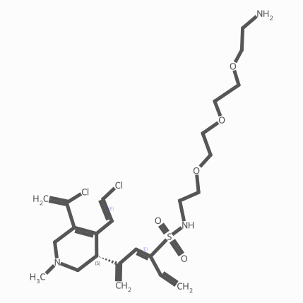 C=C/C(=C\C(=C)[C@@H]1CN(C)CC(C(=C)Cl)=C1/C=C/Cl)S(=O)(=O)NCCOCCOCCOCCN